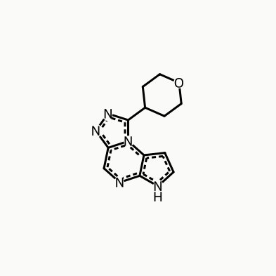 c1cc2c(ncc3nnc(C4CCOCC4)n32)[nH]1